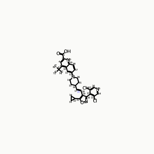 O=C(O)c1cc(C(F)(F)F)c2cc(N3CCC(/C=C/c4c(-c5c(Cl)cncc5Cl)noc4C4CC4)CC3)ccc2n1